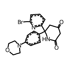 O=C1CC(=O)NC(c2ccc(N3CCOCC3)cc2)(c2cccc(Br)n2)C1